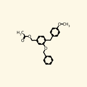 COc1ccc(Cc2ccc(COC(C)=O)cc2OCc2ccccc2)cc1